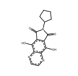 O=C1c2c(c(O)c3nccnc3c2O)C(=O)N1C1CCCC1